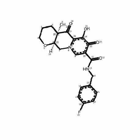 C[C@@]12CCCO[C@@H]1Cn1cc(C(=O)NCc3ccc(F)cc3)c(=O)c(O)c1C2=O